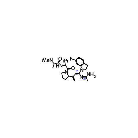 C=C(/C=C(\N=C(\C)N)N1CCc2ccc(F)cc21)C1CCCN1C(=O)C(NC(=O)C(C)NC)C(C)C